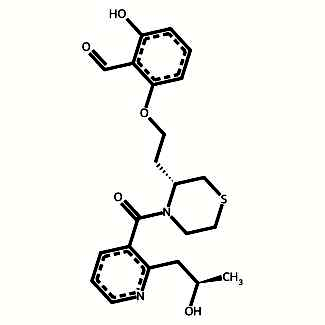 C[C@@H](O)Cc1ncccc1C(=O)N1CCSC[C@H]1CCOc1cccc(O)c1C=O